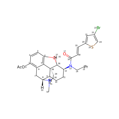 CC(=O)Oc1ccc2c3c1C[C@@H]1[C@@H]4CC[C@H](N(CC(C)C)C(=O)/C=C/c5cc(Br)cs5)[C@H](O2)[C@]34CCN1C